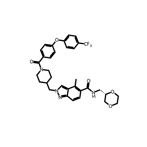 Cc1c(C(=O)NC[C@H]2COCCO2)ccc2nn(CC3CCN(C(=O)c4ccc(Oc5ccc(C(F)(F)F)cc5)cc4)CC3)cc12